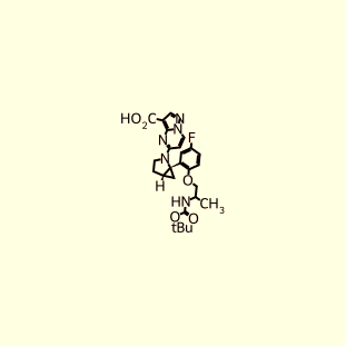 CC(COc1ccc(F)cc1[C@@]12C[C@@H]1CCN2c1ccn2ncc(C(=O)O)c2n1)NC(=O)OC(C)(C)C